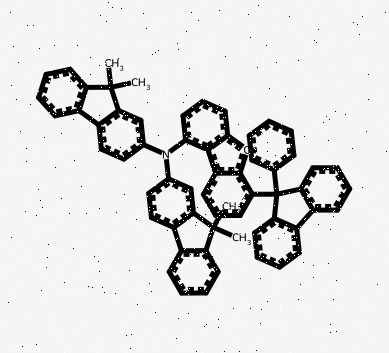 CC1(C)c2ccccc2-c2ccc(N(c3ccc4c(c3)C(C)(C)c3ccccc3-4)c3cccc4oc5c(C6(c7ccccc7)c7ccccc7-c7ccccc76)cccc5c34)cc21